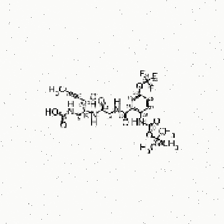 CC#C[C@H](O)[C@H](CNC(=O)O)NC(=O)CNC(=O)c1cc(OC(F)(F)F)ccc1NC(=O)OC(C)(C)C